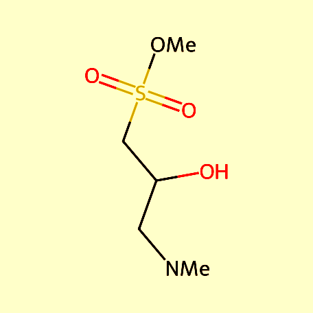 CNCC(O)CS(=O)(=O)OC